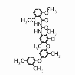 COc1cccc(OC)c1C(=O)NC(=O)Nc1cc(C)c(Oc2ccc(Oc3ccc(C)cc3C)cc2C)c(Cl)c1C